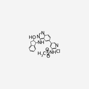 CS(=O)(=O)Nc1cc(-c2ccc3ncnc(NC4c5ccccc5CC4O)c3c2)cnc1Cl